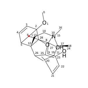 COC12C=CC(CC1C(C)(C)O)[C@@]13CCN(C)[C@@H](C)Cc4ccc(O)c(c41)OC23